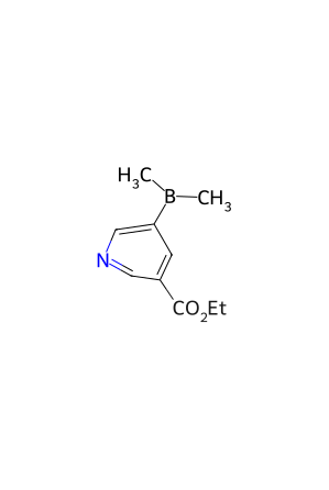 CCOC(=O)c1cncc(B(C)C)c1